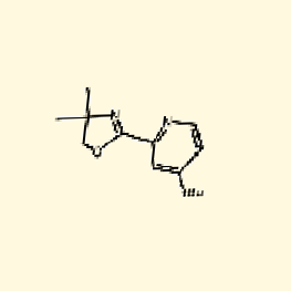 CC1(C)COC(c2cc(C(C)(C)C)ccn2)=N1